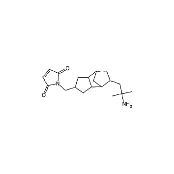 CC(C)(N)CC1CC2CC1C1CC(CN3C(=O)C=CC3=O)CC21